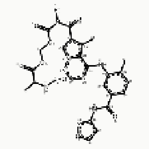 CCN(C(=O)OCOC(=O)C(C)NC=O)C(=O)c1cn2ncnc(Nc3cc(C(=O)Nc4ccon4)ccc3C)c2c1C